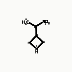 CC(C1CNC1)[N+](=O)[O-]